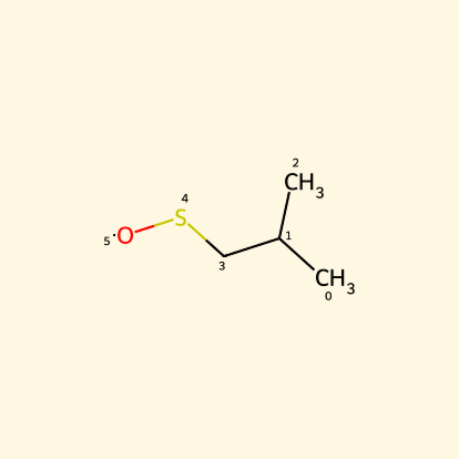 CC(C)CS[O]